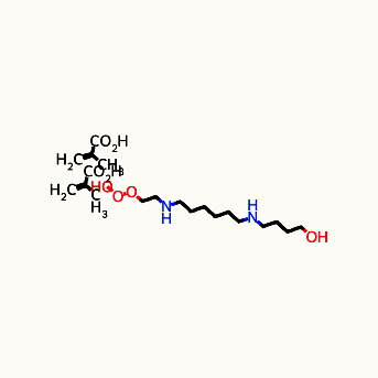 C=C(C)C(=O)O.C=C(C)C(=O)O.OCCCCNCCCCCCNCCOOO